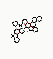 CC1(C)c2ccccc2-c2ccc(-c3ccccc3N(c3cccc(-c4cccc5c4ccc4ccccc45)c3)c3ccccc3-c3cccc4c3C(C)(C)c3ccccc3-4)cc21